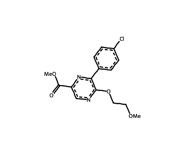 COCCOc1ncc(C(=O)OC)nc1-c1ccc(Cl)cc1